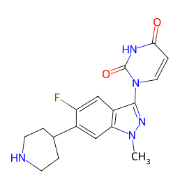 Cn1nc(-n2ccc(=O)[nH]c2=O)c2cc(F)c(C3CCNCC3)cc21